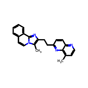 Cc1ccnc2ccc(CCc3nc4c5ccccc5ccn4c3C)nc12